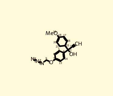 C#CC(O)(c1ccc(OCN=[N+]=[N-])cc1)C1C=CC(OC)=CC1